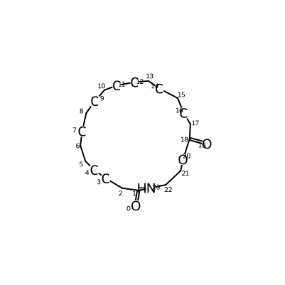 O=C1CCCCCCCCCCCCCCCCC(=O)OCCN1